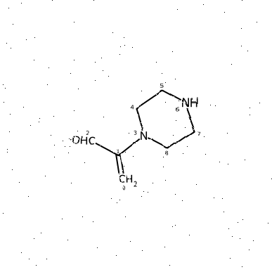 C=C([C]=O)N1CCNCC1